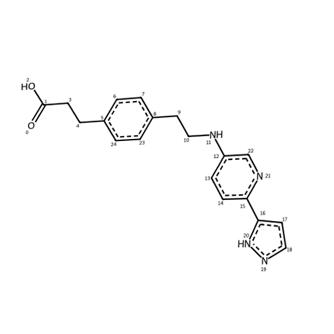 O=C(O)CCc1ccc(CCNc2ccc(-c3ccn[nH]3)nc2)cc1